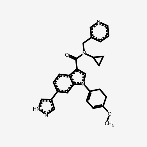 COC1=CC=C(n2cc(C(=O)N(Cc3cccnc3)C3CC3)c3ccc(-c4cn[nH]c4)cc32)CC1